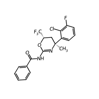 C[C@@]1(c2cccc(F)c2Cl)C[C@@H](C(F)(F)F)OC(NC(=O)c2ccccc2)=N1